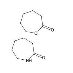 O=C1CCCCCN1.O=C1CCCCCO1